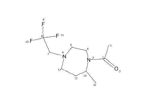 CC(=O)N1CCN(CC(F)(F)F)CCC1C